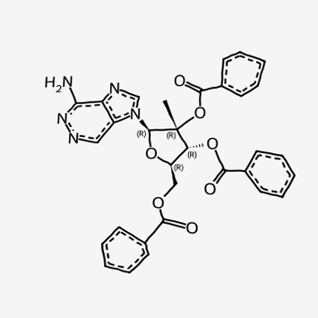 C[C@@]1(OC(=O)c2ccccc2)[C@H](OC(=O)c2ccccc2)[C@@H](COC(=O)c2ccccc2)O[C@H]1n1cnc2c(N)nncc21